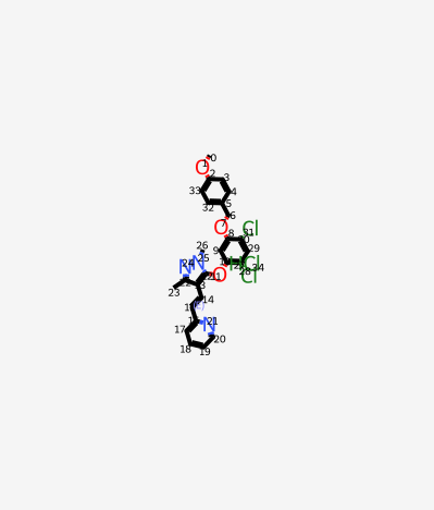 COc1ccc(COc2cc(Oc3c(/C=C/c4ccccn4)c(C)nn3C)c(Cl)cc2Cl)cc1.Cl